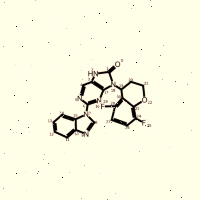 O=c1[nH]c2cnc(-n3cnc4ccccc43)nc2n1C1CCOc2c(F)ccc(F)c21